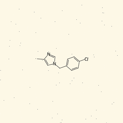 [CH2]c1cn(Cc2ccc(Cl)cc2)cn1